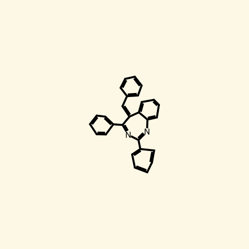 C(=C1C(c2ccccc2)=NC(c2ccccc2)=Nc2ccccc21)c1ccccc1